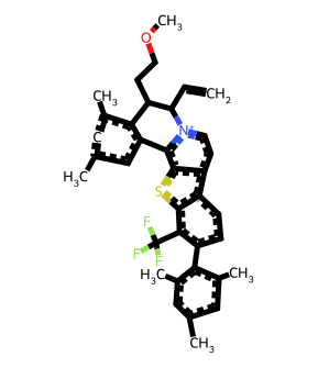 C=CC1C(CCOC)c2c(C)cc(C)cc2-c2c3sc4c(C(F)(F)F)c(-c5c(C)cc(C)cc5C)ccc4c3cc[n+]21